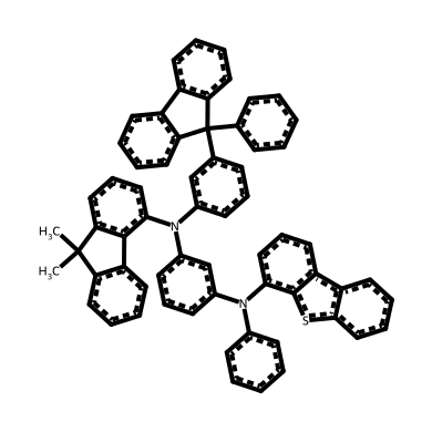 CC1(C)c2ccccc2-c2c(N(c3cccc(N(c4ccccc4)c4cccc5c4sc4ccccc45)c3)c3cccc(C4(c5ccccc5)c5ccccc5-c5ccccc54)c3)cccc21